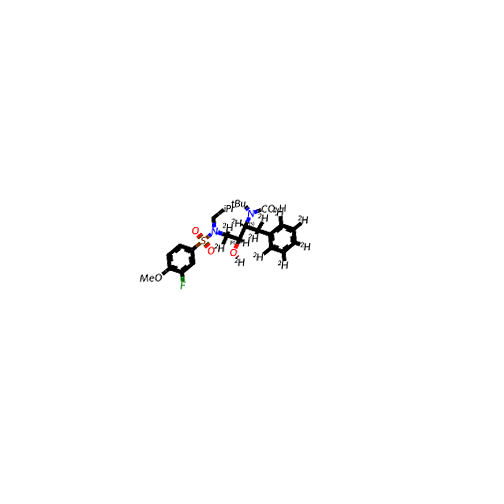 [2H]O[C@]([2H])(C([2H])([2H])N(CC(C)C)S(=O)(=O)c1ccc(OC)c(F)c1)[C@@]([2H])(N([14C](=O)O)C(C)(C)C)C([2H])([2H])c1c([2H])c([2H])c([2H])c([2H])c1[2H]